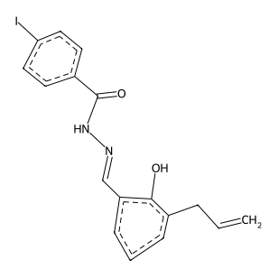 C=CCc1cccc(C=NNC(=O)c2ccc(I)cc2)c1O